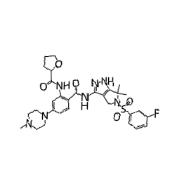 CN1CCN(c2ccc(C(=O)Nc3n[nH]c4c3CN(S(=O)(=O)c3cccc(F)c3)C4(C)C)c(NC(=O)C3CCCO3)c2)CC1